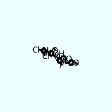 COc1ccc(CN2C(=O)CCc3c(OC[C@@]4(O)CCN(c5ncc(Cl)cc5Cl)C[C@@H]4OC)ccc(F)c32)cc1